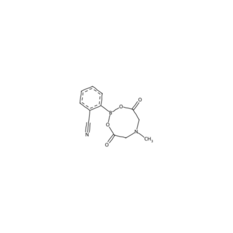 CN1CC(=O)OB(c2ccccc2C#N)OC(=O)C1